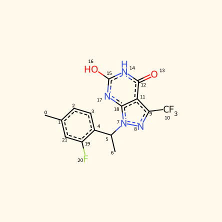 Cc1ccc(C(C)n2nc(C(F)(F)F)c3c(=O)[nH]c(O)nc32)c(F)c1